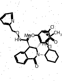 COc1cc(Cl)cc(Cl)c1[C@H]1[C@H](C(=O)NOCc2ccccn2)c2ccccc2C(=O)N1[C@H]1CCCC[C@@H]1NS(C)(=O)=O